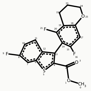 COC(=O)c1sc2cc(F)ccc2c1-c1c(F)cc2c(c1F)CCCO2